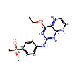 CCOc1nc(Nc2ccc(S(C)(=O)=O)cc2)nc2nccnc12